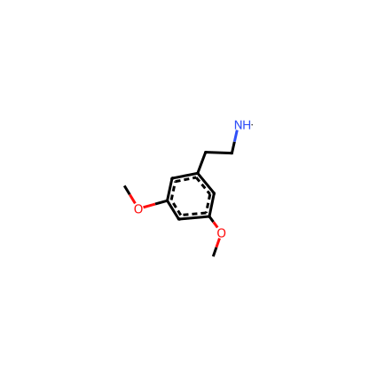 COc1cc(CC[NH])cc(OC)c1